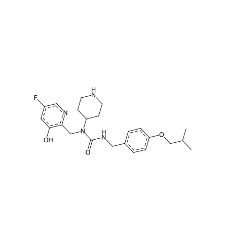 CC(C)COc1ccc(CNC(=O)N(Cc2ncc(F)cc2O)C2CCNCC2)cc1